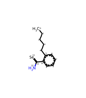 CCCCCc1ccccc1C(N)=[Se]